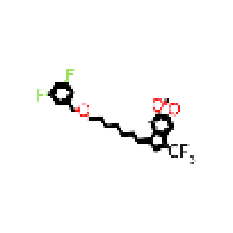 Fc1cc(F)cc(COCCCCCC/C=C2/C=C(C(F)(F)F)c3cc4c(cc32)OCO4)c1